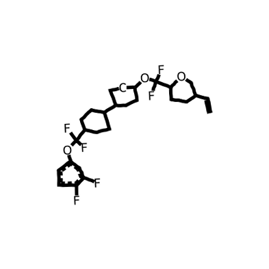 C=CC1CCC(C(F)(F)OC2CCC(C3CCC(C(F)(F)Oc4ccc(F)c(F)c4)CC3)CC2)OC1